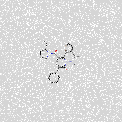 COCC1CCCN1C(=O)c1cc(-c2ccccc2)c(=O)n2c1-c1sccc1[C@@H](C)N2C